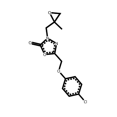 CC1(Cn2nc(COc3ccc(Cl)cc3)oc2=O)CO1